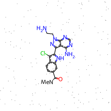 CNC(=O)c1ccc2c(Cl)c(-c3nn(CCN)c4ncnc(N)c34)[nH]c2c1